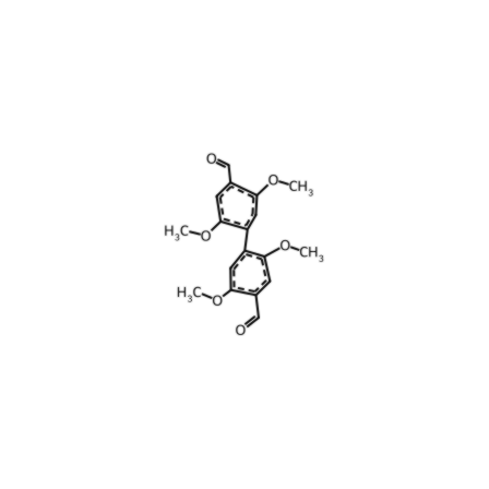 COc1cc(-c2cc(OC)c(C=O)cc2OC)c(OC)cc1C=O